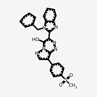 CS(=O)(=O)c1ccc(-c2cnn3c(O)c(-c4nc5ccccc5n4Cc4ccccc4)nnc23)cc1